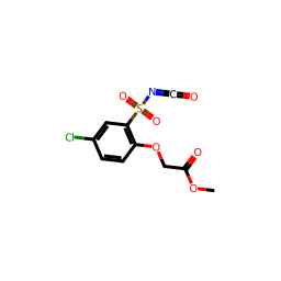 COC(=O)COc1ccc(Cl)cc1S(=O)(=O)N=C=O